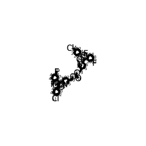 O=C(OCc1ccc(C(c2cc(F)ccc2F)S(=O)(=O)c2ccc(Cl)cc2)nc1)OCc1ccc(C(c2cc(F)ccc2F)S(=O)(=O)c2ccc(Cl)cc2)nc1